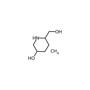 C.OCC1CCC(O)CN1